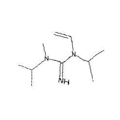 C=CN(C(=N)N(C)C(C)C)C(C)C